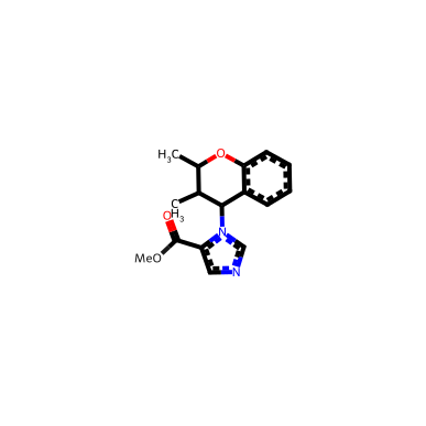 COC(=O)c1cncn1C1c2ccccc2OC(C)C1C